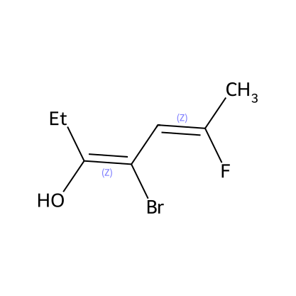 CC/C(O)=C(Br)\C=C(\C)F